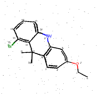 CCOc1ccc2c(c1)Nc1cccc(Br)c1C2(C)C